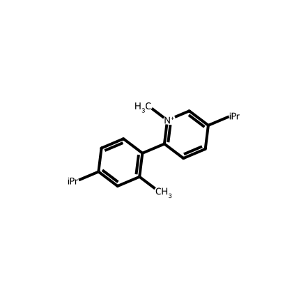 Cc1cc(C(C)C)ccc1-c1ccc(C(C)C)c[n+]1C